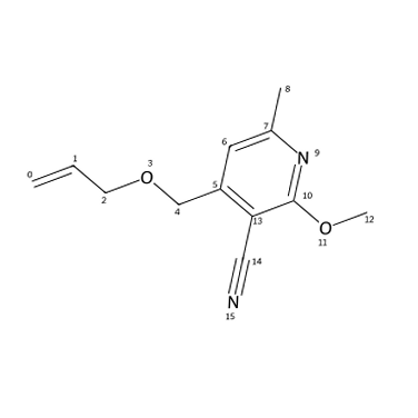 C=CCOCc1cc(C)nc(OC)c1C#N